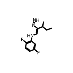 CCC(C)/C(=C/Nc1cc(F)ccc1F)N=N